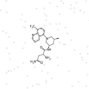 C[C@H]1C[C@@H](NC(=O)C(N)CC(N)=O)CN(c2ccc(C(F)(F)F)c3ncccc23)C1